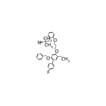 CCc1cc(-c2ccc(F)cc2)c(OCc2ccccc2)cc1OCCCOc1ccccc1CC(C)(C)C#N